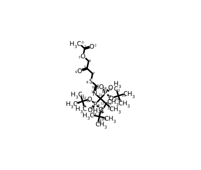 CC(=O)OCC(=O)CSC=NC(C(C)(C)C)(P(=O)(O)OC(C)(C)C)P(=O)(OC(C)(C)C)OC(C)(C)C